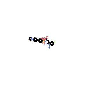 O=C(O)C(Cc1c[nH]c2ccc(F)cc12)NS(=O)(=O)c1ccc(-c2ccc(N3CCCC3)cc2)cc1